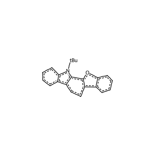 CC(C)(C)n1c2ccccc2c2ccc3c4ccccc4oc3c21